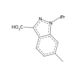 Cc1ccc2c(C(=O)O)nn(C(C)C)c2c1